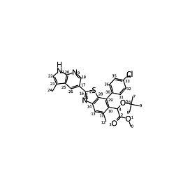 COC(=O)C(OC(C)(C)C)c1c(C)cc2nc(-c3cnc4[nH]cc(C)c4c3)sc2c1-c1ccc(Cl)cc1